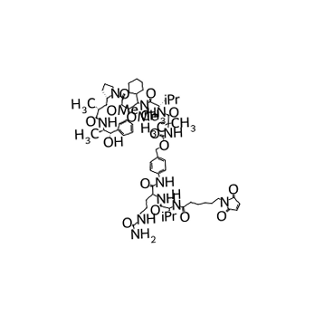 CO[C@H]([C@@H](C)C(=O)N[C@H](C)[C@@H](O)c1ccccc1)[C@@H]1CCCN1C(=O)C[C@@H](OC)[C@H](C1CCCCC1)N(C)C(=O)[C@@H](NC(=O)C(C)(C)NC(=O)OCc1ccc(NC(=O)C(CCCNC(N)=O)NC(=O)[C@@H](NC(=O)CCCCCN2C(=O)C=CC2=O)C(C)C)cc1)C(C)C